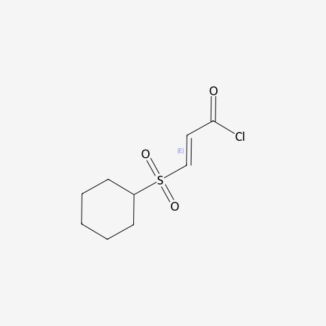 O=C(Cl)/C=C/S(=O)(=O)C1CCCCC1